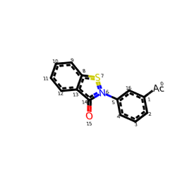 CC(=O)c1cccc(-n2sc3ccccc3c2=O)c1